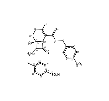 CC1=C(C(=O)OCc2ccc([N+](=O)[O-])cc2)N2C(=O)C(N)[C@@H]2SC1.Cc1ccc(S(=O)(=O)O)cc1